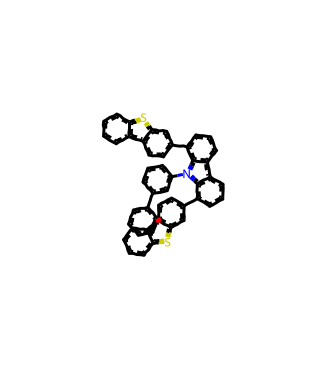 c1ccc(-c2cccc(-n3c4c(-c5ccc6c(c5)sc5ccccc56)cccc4c4cccc(-c5ccc6c(c5)sc5ccccc56)c43)c2)cc1